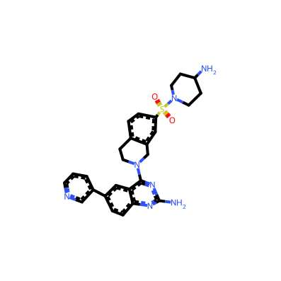 Nc1nc(N2CCc3ccc(S(=O)(=O)N4CCC(N)CC4)cc3C2)c2cc(-c3cccnc3)ccc2n1